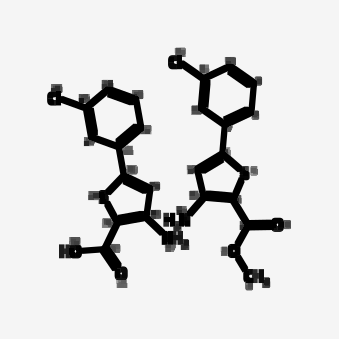 COC(=O)c1sc(-c2cccc(Cl)c2)cc1N.Nc1cc(-c2cccc(Cl)c2)sc1C(=O)O